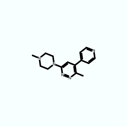 Cc1nnc(N2CCN(C)CC2)cc1-c1ccncc1